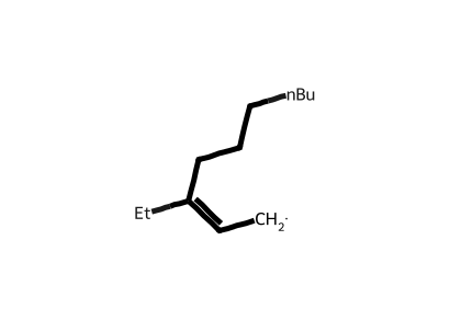 [CH2]C=C(CC)CCCCCCC